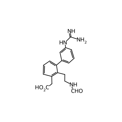 N=C(N)Nc1cccc(-c2cccc(CC(=O)O)c2CCNC=O)c1